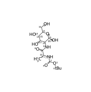 C[C@H](NC(=O)OC(C)(C)C)C(=O)NC1C(O)[C@H](O)C(CO)O[C@H]1O